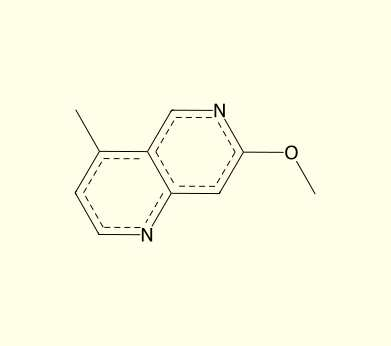 COc1cc2nccc(C)c2cn1